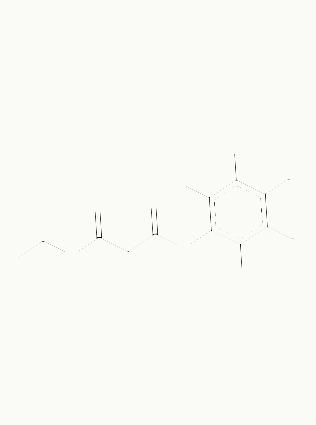 CCOC(=O)CC(=O)Oc1c(F)c(F)c(F)c(F)c1F